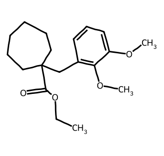 CCOC(=O)C1(Cc2cccc(OC)c2OC)CCCCCC1